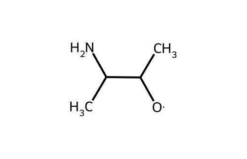 CC(N)C(C)[O]